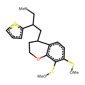 CNCC(CC1CCOc2c1ccc(SOC)c2SOC)c1cccs1